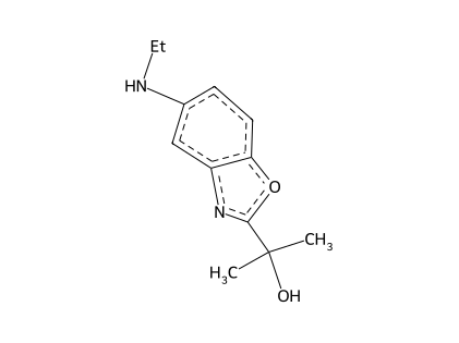 CCNc1ccc2oc(C(C)(C)O)nc2c1